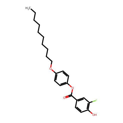 CCCCCCCCCCOc1ccc(OC(=O)c2ccc(O)c(F)c2)cc1